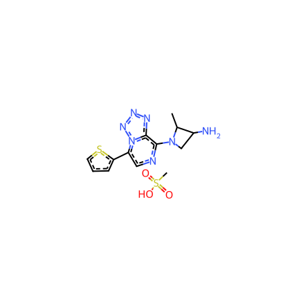 CC1C(N)CN1c1ncc(-c2cccs2)n2nnnc12.CS(=O)(=O)O